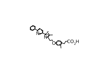 Cc1cc(OCCc2nc(-c3ccc(-c4ccccc4)nc3)sc2C)ccc1CCC(=O)O